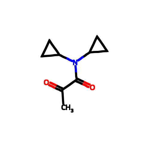 CC(=O)C(=O)N(C1CC1)C1CC1